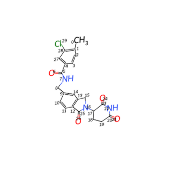 Cc1ccc(C(=O)NCc2ccc3c(c2)CN(C2CCC(=O)NC2=O)C3=O)cc1Cl